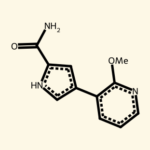 COc1ncccc1-c1c[nH]c(C(N)=O)c1